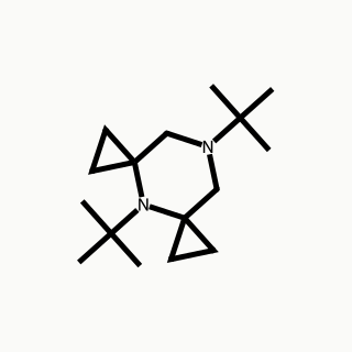 CC(C)(C)N1CC2(CC2)N(C(C)(C)C)C2(CC2)C1